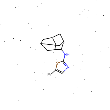 CC(C)c1cnc(NC2C3CC4CC(C3)CC2C4)s1